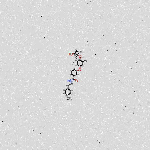 Cc1cc(Oc2cccc(C(=O)NCCc3ccc(C(F)(F)F)cc3)c2)ccc1OC1(C)CC=C1O